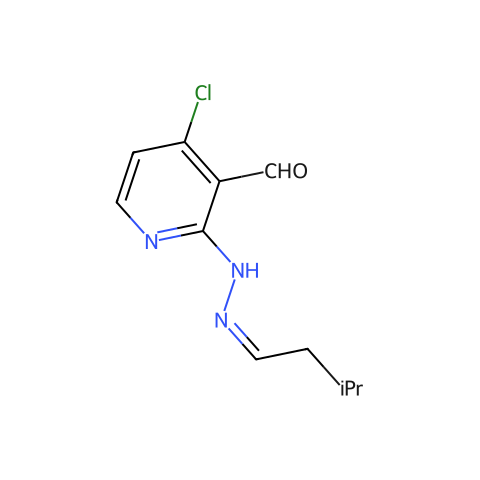 CC(C)C/C=N\Nc1nccc(Cl)c1C=O